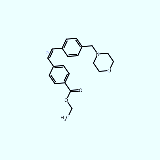 CCOC(=O)c1ccc(/C=C\c2ccc(CN3CCOCC3)cc2)cc1